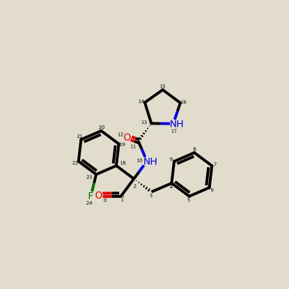 O=[C][C@](Cc1ccccc1)(NC(=O)[C@@H]1CCCN1)c1ccccc1F